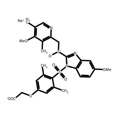 COc1ccc2c(c1)nc([S+]([O-])Cc1ncc(C)c(OC)c1C)n2S(=O)(=O)c1c(C)cc(OCC(=O)[O-])cc1C.[Na+]